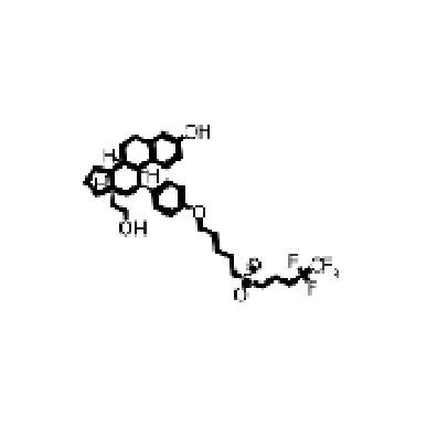 O=S(=O)(CCCCCOc1ccc([C@H]2C[C@]3(CCO)CCC[C@H]3[C@@H]3CCc4cc(O)ccc4[C@H]32)cc1)CCCC(F)(F)C(F)(F)F